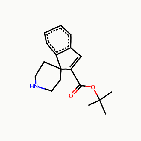 CC(C)(C)OC(=O)C1=Cc2ccccc2C12CCNCC2